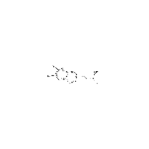 CO[C@H](C)COc1ccc2cc(F)c(C)nc2c1